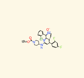 CC(C)(C)OC(=O)N1CCC(Nc2cc(-c3ccc(F)cc3F)c3cc[n+]([O-])c(-c4ccccc4Cl)c3n2)CC1